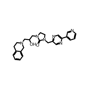 O=C1N(Cc2cnc(-c3cccnc3)cn2)CCN1CC(O)CN1CCc2ccccc2C1